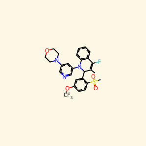 CC1=C(F)c2ccccc2N(c2cncc(N3CCOCC3)c2)C1c1cc(OC(F)(F)F)ccc1S(C)(=O)=O